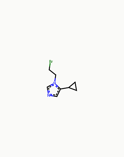 BrCCn1cncc1C1CC1